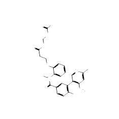 Cc1cc(C#N)c(-c2cc(C(=O)N(C)c3ccccc3OCCC(=O)OCOC(=O)C(C)(C)C)ccc2Cl)cn1